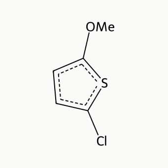 [CH2]Oc1ccc(Cl)s1